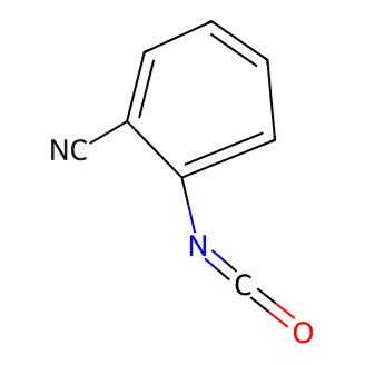 N#Cc1ccccc1N=C=O